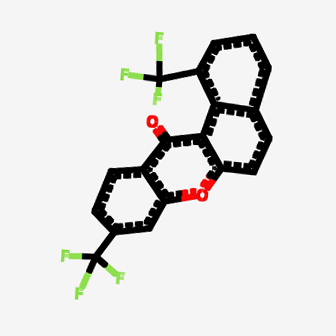 O=c1c2ccc(C(F)(F)F)cc2oc2ccc3cccc(C(F)(F)F)c3c12